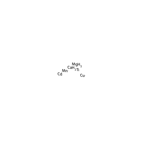 [CaH2].[Cd].[Cu].[MgH2].[Mn].[Ti]